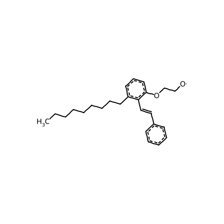 CCCCCCCCCc1cccc(OCC[O])c1C=Cc1ccccc1